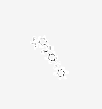 CC(F)(F)c1cccc(NC(=O)c2ccc(COc3ccccc3)nc2)c1